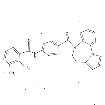 Cc1cccc(C(=O)Nc2ccc(C(=O)N3CCc4cccn4-c4ccccc43)cc2)c1C